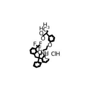 CCC(C(=O)O)c1cccc(OCCCNCC(Cc2cccc(C(F)(F)F)c2Cl)(c2ccccc2)c2ccccc2)c1.Cl